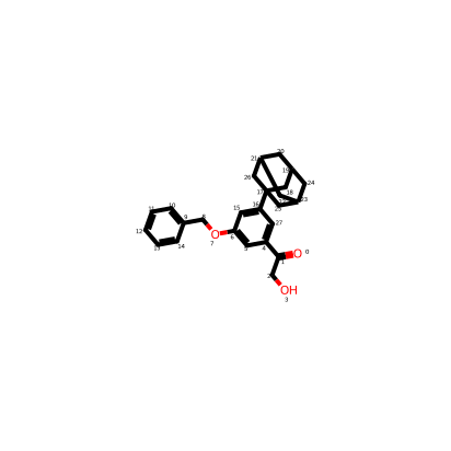 O=C(CO)c1cc(OCc2ccccc2)cc(C23CC4CC(CC(C4)C2)C3)c1